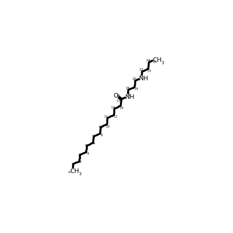 CCCCCCCCCCCCCCCC(=O)NCCCNCCCC